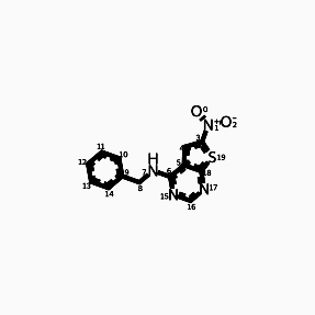 O=[N+]([O-])c1cc2c(NCc3ccccc3)ncnc2s1